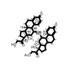 CC(=O)OCC(=O)[C@@]1(O)CCC2C3CCC4=CC(=O)C=C[C@]4(C)C3C(O)C[C@@]21C.C[C@]12C=CC(=O)C=C1CC[C@@H]1[C@@H]2C(O)C[C@@]2(C)[C@H]1CC[C@]2(O)C(=O)CO